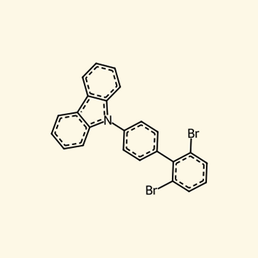 Brc1cccc(Br)c1-c1ccc(-n2c3ccccc3c3ccccc32)cc1